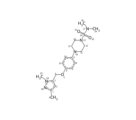 Cc1cc(COc2ccc(N3CCN(S(=O)(=O)N(C)C)CC3)cc2)n(C)n1